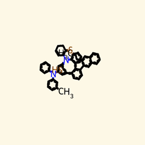 CCCc1cc2ccccc2cc1-c1cccc2c3cc(N(c4ccccc4)c4cccc(C)c4)cc(c3S)n3c4c(sc5cccc(c5-3)c12)CCC=C4